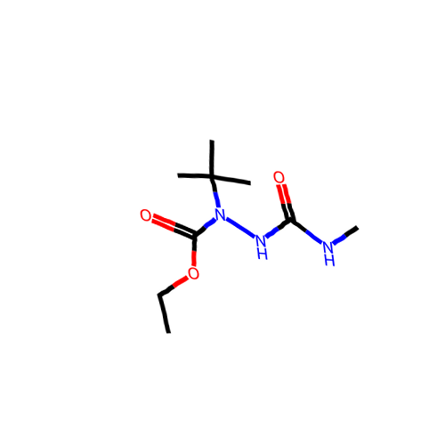 CCOC(=O)N(NC(=O)NC)C(C)(C)C